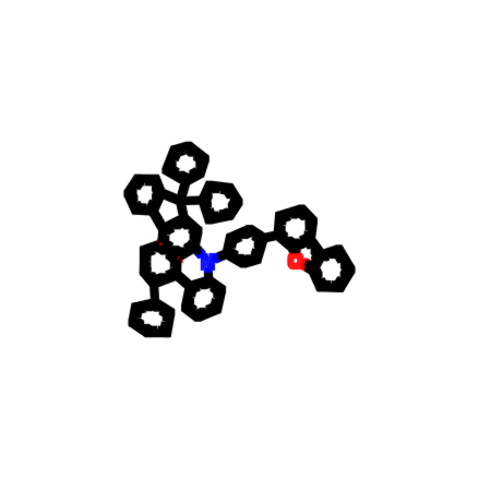 c1ccc(-c2ccccc2-c2ccccc2N(c2ccc(-c3cccc4c3oc3ccccc34)cc2)c2ccc3c(c2)C(c2ccccc2)(c2ccccc2)c2ccccc2-3)cc1